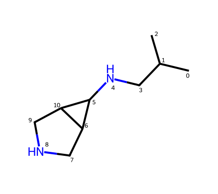 CC(C)CNC1C2CNCC21